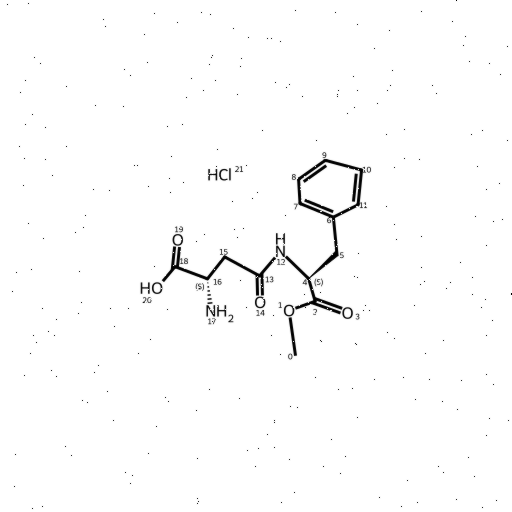 COC(=O)[C@H](Cc1ccccc1)NC(=O)C[C@H](N)C(=O)O.Cl